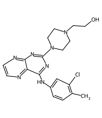 Cc1ccc(Nc2nc(N3CCN(CCO)CC3)nc3nccnc23)cc1Cl